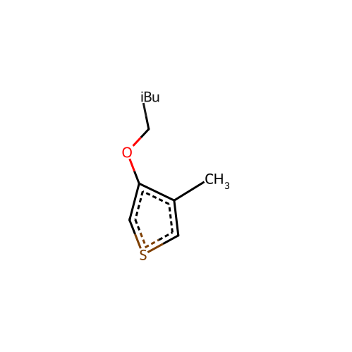 CCC(C)COc1cscc1C